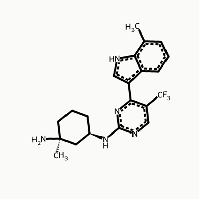 Cc1cccc2c(-c3nc(N[C@@H]4CCC[C@](C)(N)C4)ncc3C(F)(F)F)c[nH]c12